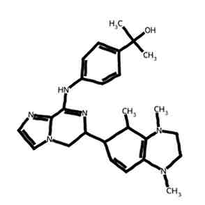 CC1C2=C(C=CC1C1Cn3ccnc3C(Nc3ccc(C(C)(C)O)cc3)=N1)N(C)CCN2C